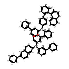 c1ccc(-c2cccc(N(c3cccc(-c4ccccc4N(c4ccc(-c5cccc6sc7ccc8ccccc8c7c56)cc4)c4cccc(-c5ccccc5)c4)c3)c3ccc4cc(-c5ccccc5)ccc4c3)c2)cc1